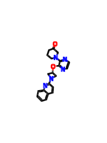 O=C1CCCN(c2nccnc2OC2CN(c3ccc4ccccc4n3)C2)C1